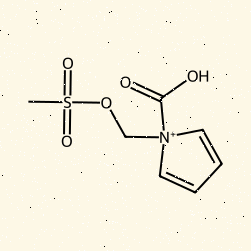 CS(=O)(=O)OC[N+]1(C(=O)O)C=CC=C1